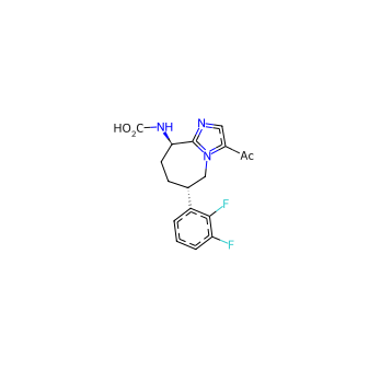 CC(=O)c1cnc2n1C[C@H](c1cccc(F)c1F)CC[C@H]2NC(=O)O